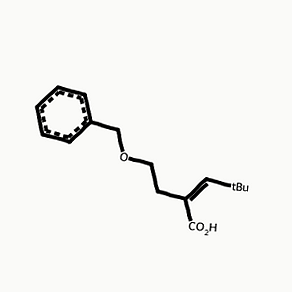 CC(C)(C)C=C(CCOCc1ccccc1)C(=O)O